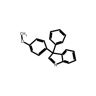 COc1ccc(C2(c3ccccc3)C=Nc3ccccc32)cc1